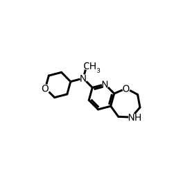 CN(c1ccc2c(n1)OCCNC2)C1CCOCC1